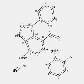 Cc1ccccc1Nc1cc(NCC(C)C)c2noc3c2c1C(=O)c1ccccc1-3